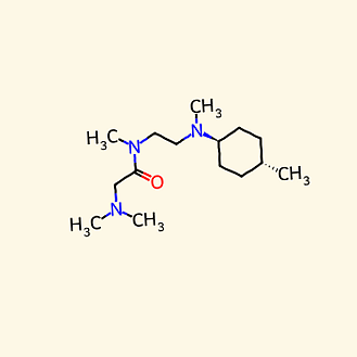 CN(C)CC(=O)N(C)CCN(C)[C@H]1CC[C@H](C)CC1